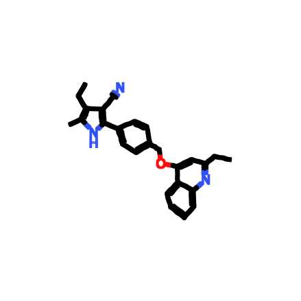 CCc1cc(OCc2ccc(-c3[nH]c(C)c(CC)c3C#N)cc2)c2ccccc2n1